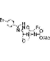 COC(=O)NC(C(=O)N1CCOC[C@H]1c1nc(-c2ccc(Br)cc2)c[nH]1)C(C)C